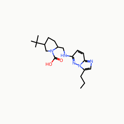 CCCc1cnc2ccc(NCC3CCC(C(C)(C)C)CN3C(=O)O)nn12